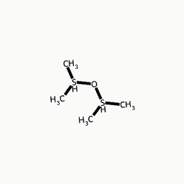 C[SH](C)O[SH](C)C